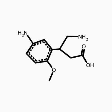 COc1ccc(N)cc1C(CN)CC(=O)O